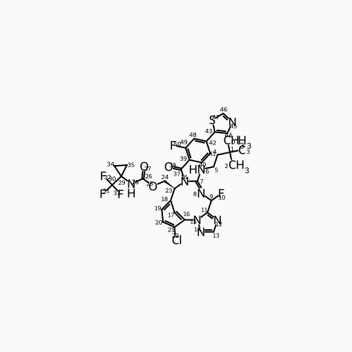 CC(C)(C)CCN/C1=N\C(F)c2ncnn2-c2cc(ccc2Cl)[C@@H](COC(=O)NC2(C(F)(F)F)CC2)N1C(=O)c1ccc(-c2cncs2)cc1F